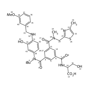 CCC(C)N(C(=O)c1cc(C(=O)NC(CO)C(=O)O)cc(C(=O)N(C)Cc2nc(C)cs2)c1)c1ccc(NCc2cccc(OC)c2)c(O)c1